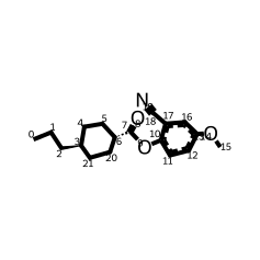 CCC[C@H]1CC[C@H](C(=O)Oc2ccc(OC)cc2C#N)CC1